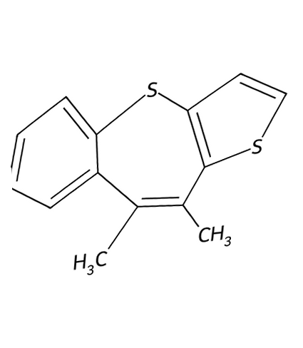 CC1=C(C)c2sccc2Sc2ccccc21